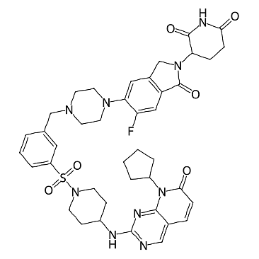 O=C1CCC(N2Cc3cc(N4CCN(Cc5cccc(S(=O)(=O)N6CCC(Nc7ncc8ccc(=O)n(C9CCCC9)c8n7)CC6)c5)CC4)c(F)cc3C2=O)C(=O)N1